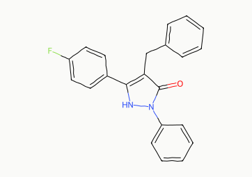 O=c1c(Cc2ccccc2)c(-c2ccc(F)cc2)[nH]n1-c1ccccc1